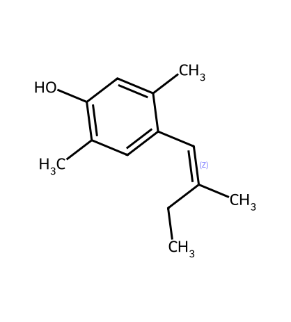 CC/C(C)=C\c1cc(C)c(O)cc1C